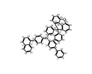 c1ccc(-c2ccc(N(c3ccc(-c4cccc5ccccc45)cc3)c3cccc(C4(c5ccccc5)c5cccc6oc7cccc4c7c56)c3)cc2)cc1